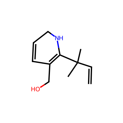 C=CC(C)(C)C1=C(CO)C=CCN1